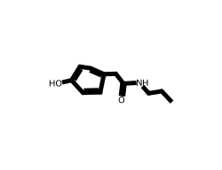 CCCNC(=O)Cc1ccc(O)cc1